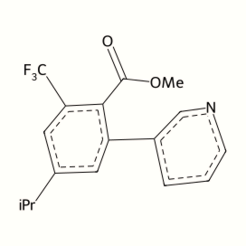 COC(=O)c1c(-c2cccnc2)cc(C(C)C)cc1C(F)(F)F